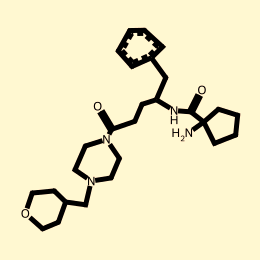 NC1(C(=O)NC(CCC(=O)N2CCN(CC3CCOCC3)CC2)Cc2ccccc2)CCCC1